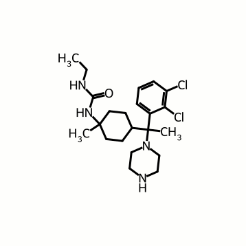 CCNC(=O)NC1(C)CCC(C(C)(c2cccc(Cl)c2Cl)N2CCNCC2)CC1